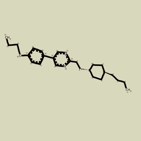 CCCC[C@H]1CC[C@H](CCc2ncc(-c3ccc(OCCC)cc3)cn2)CC1